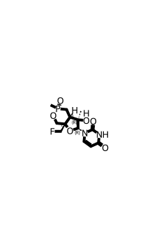 C[C@@]1(O)[C@@H]2CP(C)(=O)OC[C@@]2(CF)O[C@H]1n1ccc(=O)[nH]c1=O